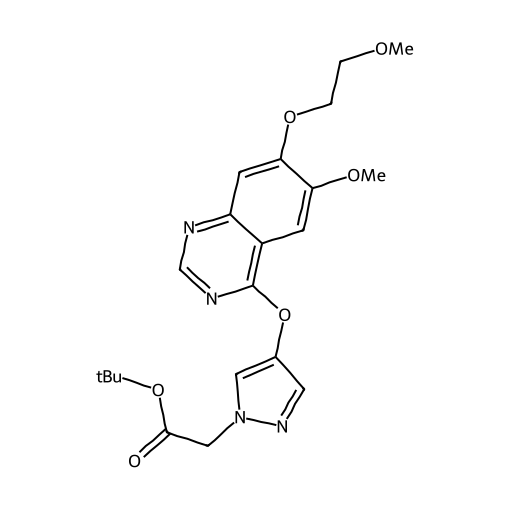 COCCOc1cc2ncnc(Oc3cnn(CC(=O)OC(C)(C)C)c3)c2cc1OC